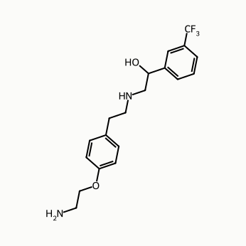 NCCOc1ccc(CCNCC(O)c2cccc(C(F)(F)F)c2)cc1